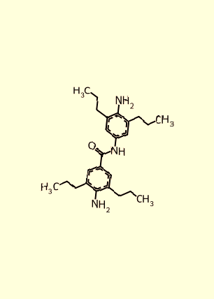 CCCc1cc(NC(=O)c2cc(CCC)c(N)c(CCC)c2)cc(CCC)c1N